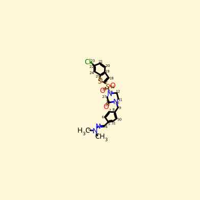 CN(C)N=Cc1ccc(CN2CCN(S(=O)(=O)c3cc4ccc(Cl)cc4s3)CC2=O)cc1